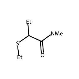 CCSC(CC)C(=O)NC